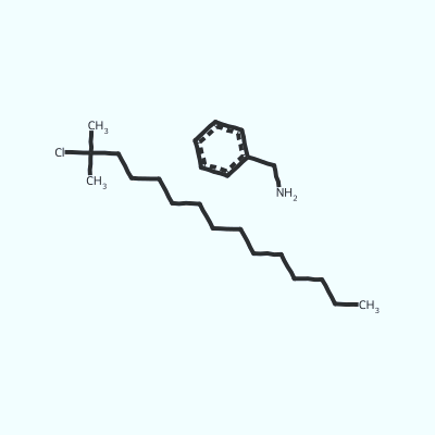 CCCCCCCCCCCCCC(C)(C)Cl.NCc1ccccc1